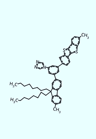 CCCCCCCCC1(CCCCCCCC)c2cc(C)ccc2-c2ccc(-c3cc(-c4ccc5c(c4)sc4c6ccc(C)cc6sc54)cc(-n4cnnc4)c3)cc21